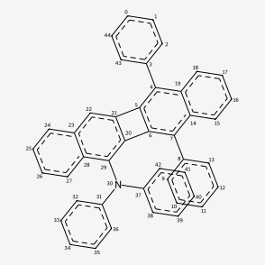 c1ccc(-c2c3c(c(-c4ccccc4)c4ccccc24)-c2c-3cc3ccccc3c2N(c2ccccc2)c2ccccc2)cc1